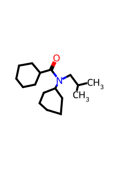 CC(C)CN(C(=O)C1CCCCC1)C1CCCCC1